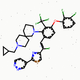 F/C(=C\c1ccc(Oc2cccc(F)c2F)c(C(F)(F)F)c1N1CCCC2(CCN(CC3CC3)CC2)C1)c1csc(-c2ccnnc2)n1